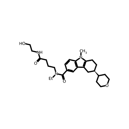 CCN(CCCC(=O)NCCO)C(=O)c1ccc2c(c1)c1c(n2C)CC[C@@H](C2CCOCC2)C1